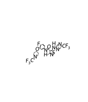 Cc1nsc(Nc2cnc(C(F)(F)F)cn2)c1C(=O)Nc1ccc(F)c(OC2CCN(CC(F)(F)F)CC2)c1